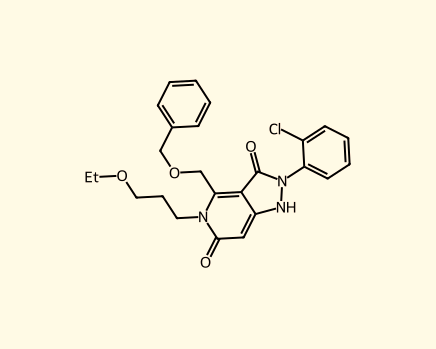 CCOCCCn1c(COCc2ccccc2)c2c(=O)n(-c3ccccc3Cl)[nH]c2cc1=O